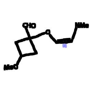 CN/C=C\OC1(C=O)CC(OC)C1